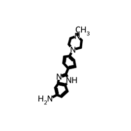 CN1CCN(c2ccc(-c3nc4cc(N)ccc4[nH]3)cc2)CC1